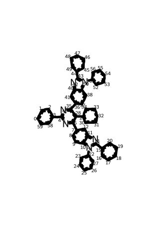 c1ccc(-c2nc(-c3ccc4c(c3)nc(-c3ccccc3)n4-c3ccccc3)c(-c3ccccc3)c(-c3ccc4c(c3)nc(-c3ccccc3)n4-c3ccccc3)n2)cc1